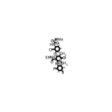 CCNC(=O)c1c(Oc2cccc(NS(=O)(=O)NC)c2Cl)c(C)c(=O)n(C)c1Nc1ccc(I)cc1F